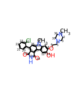 CN1CCN(CCOc2cc3c(cc2O)c2c4c(c(-c5ccccc5Cl)cc2n3C)C(=O)NC4=O)CC1